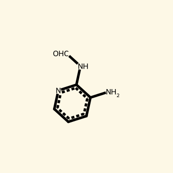 Nc1cccnc1NC=O